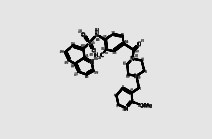 COC1=NCCC=C1CN1CCN(C(=O)c2ccc(NS(=O)(=O)c3cccc4cccnc34)c(C)c2)CC1